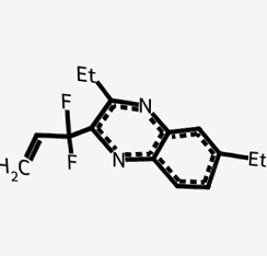 C=CC(F)(F)c1nc2ccc(CC)cc2nc1CC